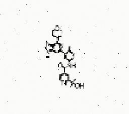 Cc1ccc(NC(=O)c2ccnc(C(C)(C)O)c2)cc1-c1cc2[nH]cnc2c(N2CCOCC2)n1